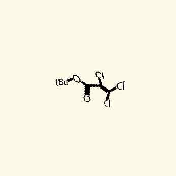 CC(C)(C)OC(=O)C(Cl)=C(Cl)Cl